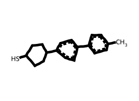 Cc1ccc(-c2ccc(C3CCC(S)CC3)cc2)cc1